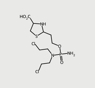 NP(=O)(OCCC1NC(C(=O)O)CS1)N(CCCl)CCCl